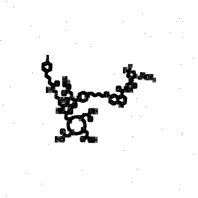 C/N=C/[C@H]1CC(F)(F)CN1C(=O)CNC(=O)c1ccnc2ccc(OCCCCN3CCN(C(=O)[C@H](CC(=O)OC)NC(=O)[C@H](CCCCNC(=O)CCCc4ccc(I)cc4)NC(=O)CN4CCN(CC(=O)O)CCN(CC(=O)O)CCN(CC(=O)O)CC4)CC3)cc12